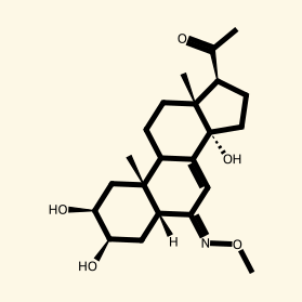 CO/N=C1\C=C2C(CC[C@]3(C)[C@@H](C(C)=O)CC[C@@]23O)[C@@]2(C)C[C@H](O)[C@H](O)C[C@@H]12